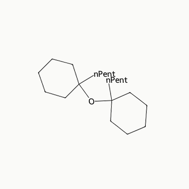 CCCCCC1(OC2(CCCCC)CCCCC2)CCCCC1